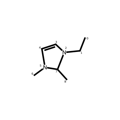 CCN1C=CN(C)C1C